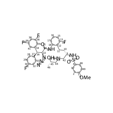 COc1ccc(S(=O)(=O)N[C@@H](CCc2c(F)cccc2NC(=O)[C@@H](N=[N+]=[N-])[C@@H](c2ccc(F)cc2)c2cc(F)cc(F)c2)CNC[C@H](C)O)cc1